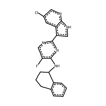 Fc1cnc(-c2c[nH]c3ncc(Cl)cc23)nc1NC1CCCc2ccccc21